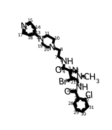 Cn1nc(C(=O)NCCN2CCN(c3ccncc3)CC2)c(Br)c1NC(=O)c1ccccc1Cl